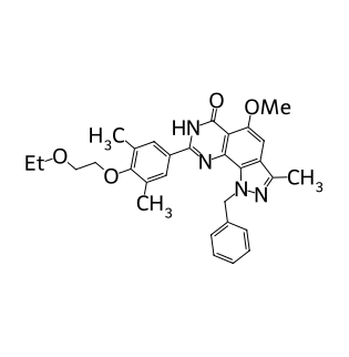 CCOCCOc1c(C)cc(-c2nc3c(c(OC)cc4c(C)nn(Cc5ccccc5)c43)c(=O)[nH]2)cc1C